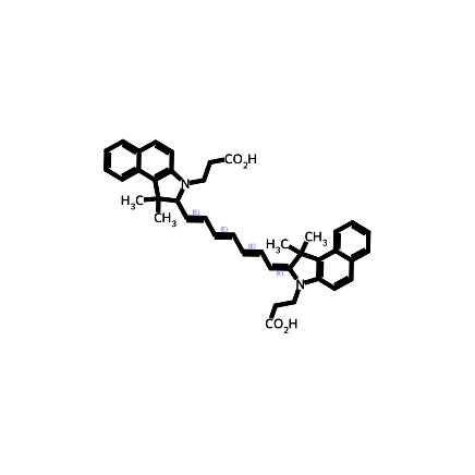 CC1(C)\C(=C/C=C/C=C/C=C/C2N(CCC(=O)O)c3ccc4ccccc4c3C2(C)C)N(CCC(=O)O)c2ccc3ccccc3c21